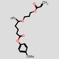 C=CC(=O)OCCCOC(CCC)CCCC(=O)Oc1ccc(OC)cc1